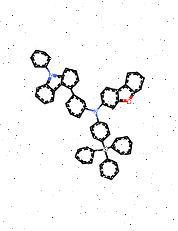 c1ccc(-n2c3ccccc3c3c(-c4cccc(N(c5ccc([Si](c6ccccc6)(c6ccccc6)c6ccccc6)cc5)c5ccc6c(c5)oc5ccccc56)c4)cccc32)cc1